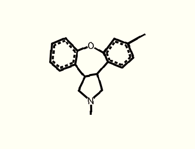 Cc1ccc2c(c1)Oc1ccccc1C1CN(C)CC21